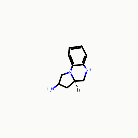 NC1C[C@@H]2CNc3ccccc3N2C1